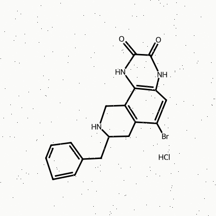 Cl.O=c1[nH]c2cc(Br)c3c(c2[nH]c1=O)CNC(Cc1ccccc1)C3